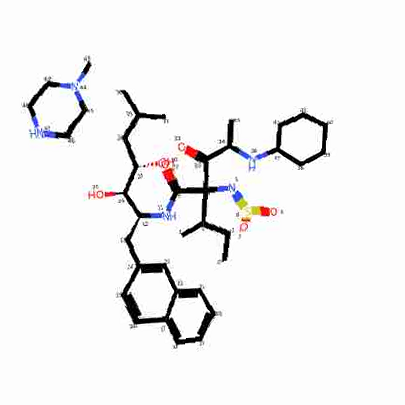 CCC(C)C(N=S(=O)=O)(C(=O)N[C@@H](Cc1ccc2ccccc2c1)[C@@H](O)[C@@H](O)CC(C)C)C(=O)C(C)NC1CCCCC1.CN1CCNCC1